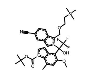 COc1cc(C)c2c(ccn2C(=O)OC(C)(C)C)c1C(O)(n1cc2cc(C#N)ccc2c1COCC[Si](C)(C)C)C(F)(F)F